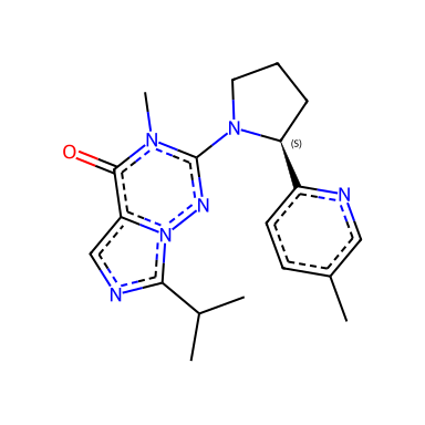 Cc1ccc([C@@H]2CCCN2c2nn3c(C(C)C)ncc3c(=O)n2C)nc1